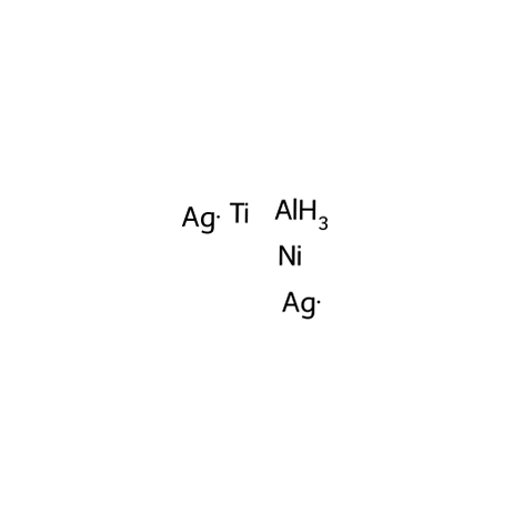 [Ag].[Ag].[AlH3].[Ni].[Ti]